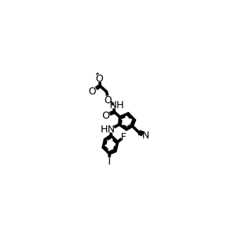 COC(=O)CONC(=O)c1ccc(C#N)cc1Nc1ccc(I)cc1F